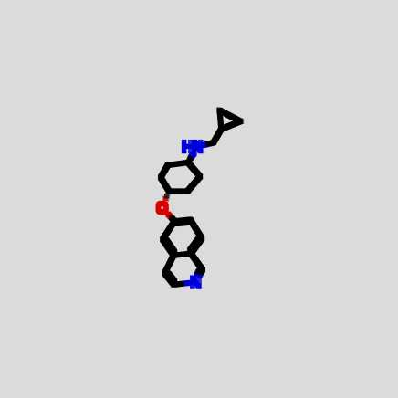 c1cc2cc(O[C@H]3CC[C@H](NCC4CC4)CC3)ccc2cn1